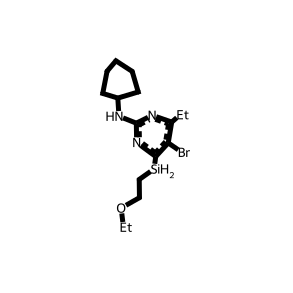 CCOCC[SiH2]c1nc(NC2CCCCC2)nc(CC)c1Br